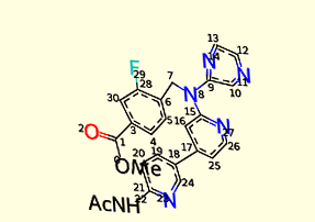 COC(=O)c1ccc(CN(c2cnccn2)c2cc(-c3ccc(NC(C)=O)nc3)ccn2)c(F)c1